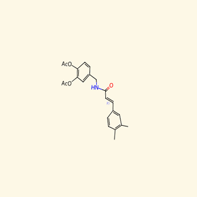 CC(=O)Oc1ccc(CNC(=O)/C=C/c2ccc(C)c(C)c2)cc1OC(C)=O